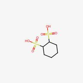 O=S(=O)(O)C1CCCCC1S(=O)(=O)O